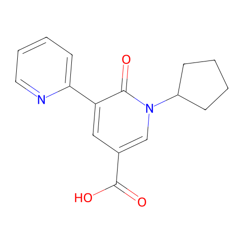 O=C(O)c1cc(-c2ccccn2)c(=O)n(C2CCCC2)c1